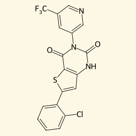 O=c1[nH]c2cc(-c3ccccc3Cl)sc2c(=O)n1-c1cncc(C(F)(F)F)c1